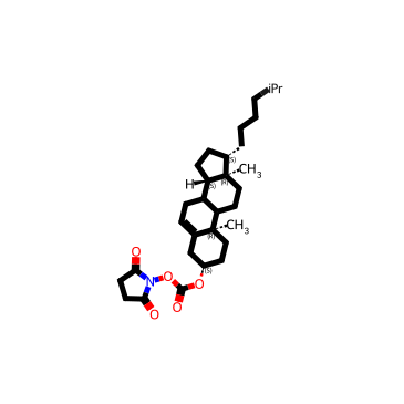 CC(C)CCCC[C@H]1CC[C@H]2C3CC=C4C[C@@H](OC(=O)ON5C(=O)CCC5=O)CC[C@]4(C)C3CC[C@]12C